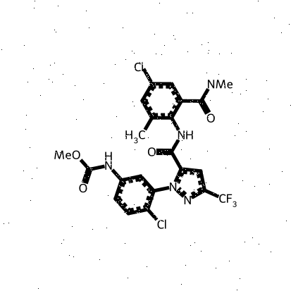 CNC(=O)c1cc(Cl)cc(C)c1NC(=O)c1cc(C(F)(F)F)nn1-c1cc(NC(=O)OC)ccc1Cl